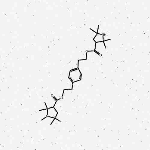 CN1C(C)(C)CC(C(=O)OCCc2ccc(CCOC(=O)C3CC(C)(C)NC3(C)C)cc2)C1(C)C